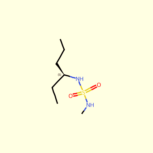 CCC[C@H](CC)NS(=O)(=O)NC